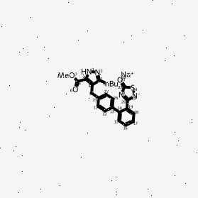 CCCCc1n[nH]c(C(=O)OC)c1Cc1ccc(-c2ccccc2-c2nc(=O)s[n-]2)cc1.[Na+]